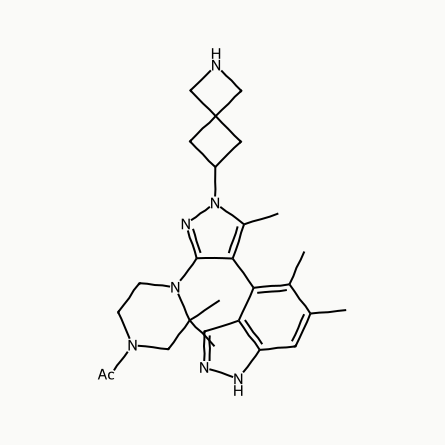 CC(=O)N1CCN(c2nn(C3CC4(CNC4)C3)c(C)c2-c2c(C)c(C)cc3[nH]ncc23)C(C)(C)C1